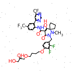 CN1N(Cc2ccc(OCCCCOC[C@H](O)CO)c(F)c2F)C(=O)C(C(=O)Nc2ccc(C(F)(F)F)cc2-c2cc(C(F)(F)F)ncn2)=C(O)C12CCCC2